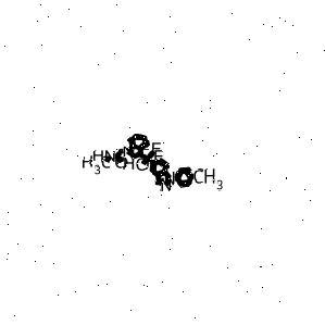 CNC(=O)Cn1cc(C(O)(c2ccc3c(cnn3-c3ccc(C)cc3)c2)C(F)(F)F)c2ccccc21